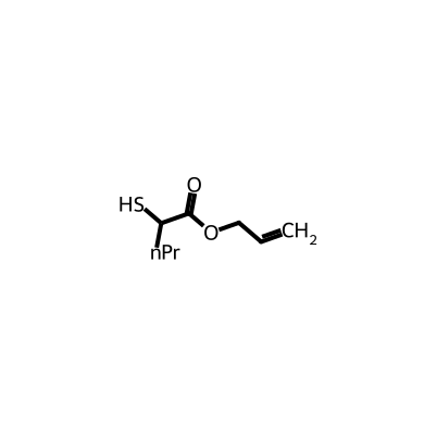 C=CCOC(=O)C(S)CCC